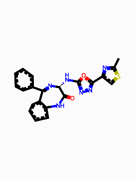 Cc1nc(-c2nnc(N[C@H]3N=C(c4ccccc4)c4ccccc4NC3=O)o2)cs1